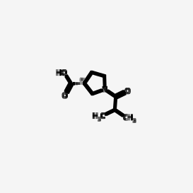 CC(C)C(=O)N1CC[C@@H](C(=O)O)C1